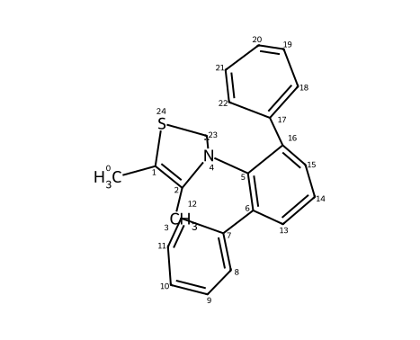 CC1=C(C)N(c2c(-c3ccccc3)cccc2-c2ccccc2)[C]S1